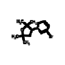 CC1(C)CC(N2C=C(Br)C=CC2)C(C)(C)O1